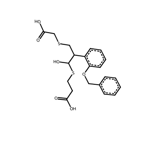 O=C(O)CCSC(O)C(CSCC(=O)O)c1ccccc1OCc1ccccc1